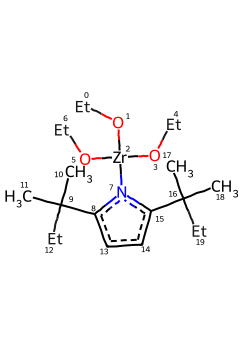 CC[O][Zr]([O]CC)([O]CC)[n]1c(C(C)(C)CC)ccc1C(C)(C)CC